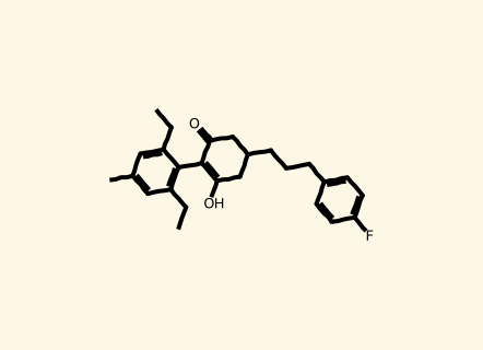 CCc1cc(C)cc(CC)c1C1=C(O)CC(CCCc2ccc(F)cc2)CC1=O